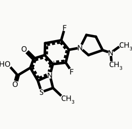 CC1Sc2c(C(=O)O)c(=O)c3cc(F)c(N4CCC(N(C)C)C4)c(F)c3n21